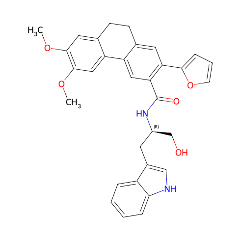 COc1cc2c(cc1OC)-c1cc(C(=O)N[C@@H](CO)Cc3c[nH]c4ccccc34)c(-c3ccco3)cc1CC2